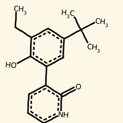 CCc1cc(C(C)(C)C)cc(-c2ccc[nH]c2=O)c1O